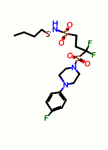 CCCCSNS(=O)(=O)CCC(F)(F)S(=O)(=O)N1CCN(c2ccc(F)cc2)CC1